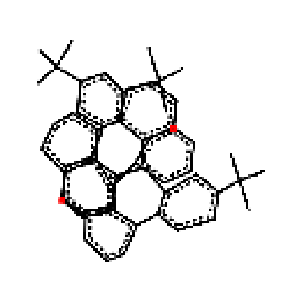 CC(C)(C)c1cc(-c2ccccc2N(c2cc(C(C)(C)C)ccc2-c2ccccc2)c2ccccc2-c2cccc3cccc(-c4ccccc4)c23)cc(C(C)(C)C)c1